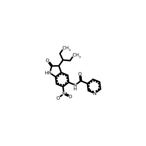 CCC(CC)C1C(=O)Nc2cc([N+](=O)[O-])c(NC(=O)c3cccnc3)cc21